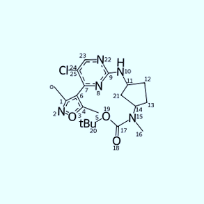 Cc1noc(C)c1-c1nc(NC2CCC(N(C)C(=O)OC(C)(C)C)C2)ncc1Cl